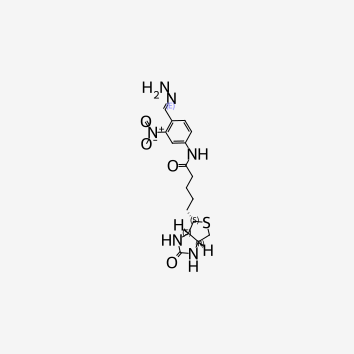 N/N=C/c1ccc(NC(=O)CCCC[C@@H]2SC[C@@H]3NC(=O)N[C@@H]32)cc1[N+](=O)[O-]